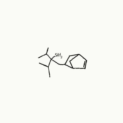 CC(C)C([SiH3])(CC1CC2C=CC1C2)C(C)C